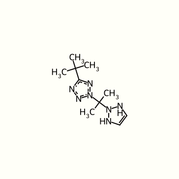 CC(C)(C)c1nnn(C(C)(C)N2NC=CN2)n1